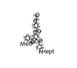 CCCCCCCc1ccc(C(=O)Oc2ccc(OC(=O)c3ccc(OCC4CO4)cc3)cc2C(OOC)c2ccccc2)cc1